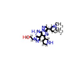 C=C/C(=C\N(C)C)c1cnn2c(N)c(-c3cnn(CCO)c3)c(C3CCCNC3)nc12